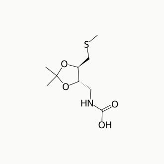 CSC[C@@H]1OC(C)(C)O[C@H]1CNC(=O)O